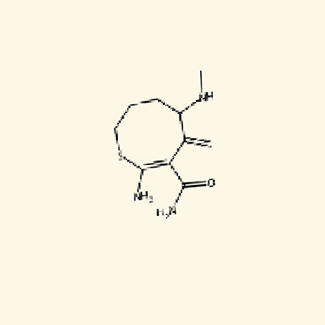 C=C1/C(C(N)=O)=C(/N)SCCCC1NC